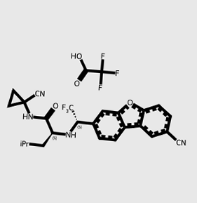 CC(C)C[C@H](N[C@@H](c1ccc2c(c1)oc1ccc(C#N)cc12)C(F)(F)F)C(=O)NC1(C#N)CC1.O=C(O)C(F)(F)F